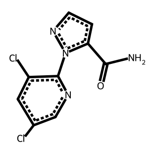 NC(=O)c1ccnn1-c1ncc(Cl)cc1Cl